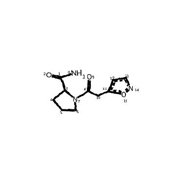 NC(=O)C1CCCN1C(=O)Cc1ccno1